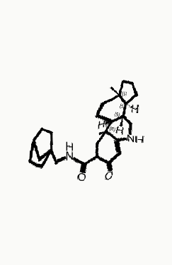 C[C@@]12CCC[C@H]1[C@@H]1CNC3=CC(=O)C(C(=O)NCC45CCC(CC4)C5)C[C@]3(C)[C@@H]1CC2